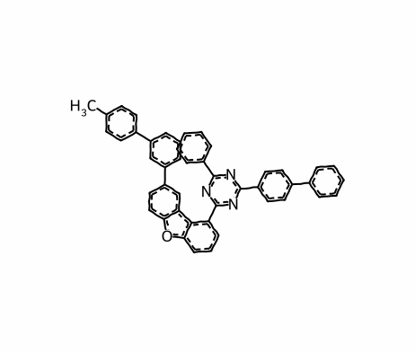 Cc1ccc(-c2cccc(-c3ccc4oc5cccc(-c6nc(-c7ccccc7)nc(-c7ccc(-c8ccccc8)cc7)n6)c5c4c3)c2)cc1